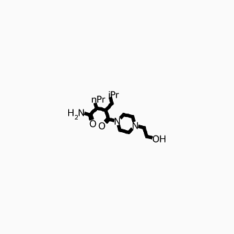 CCCC(C(N)=O)C(CC(C)C)C(=O)N1CCN(CCO)CC1